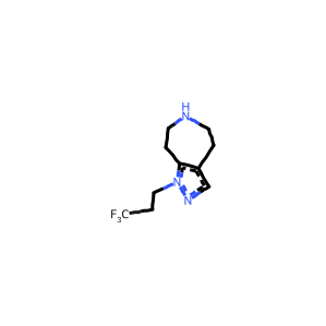 FC(F)(F)CCn1ncc2c1CCNCC2